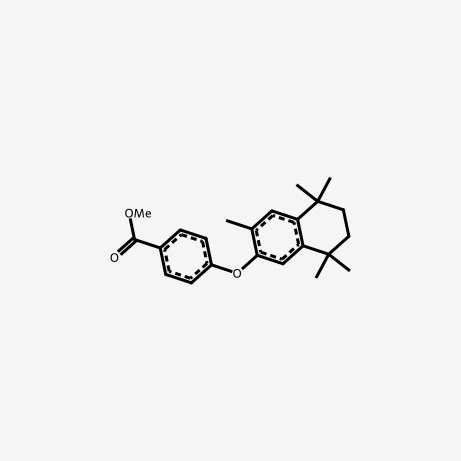 COC(=O)c1ccc(Oc2cc3c(cc2C)C(C)(C)CCC3(C)C)cc1